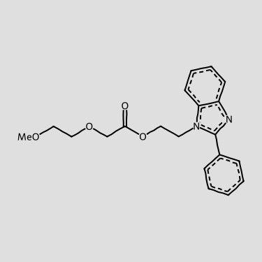 COCCOCC(=O)OCCn1c(-c2ccccc2)nc2ccccc21